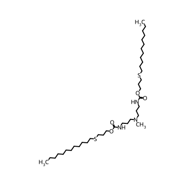 CCCCCCCCCCCCSCCCOC(=O)NCCCN(C)CCCNC(=O)OCCCSCCCCCCCCCCCC